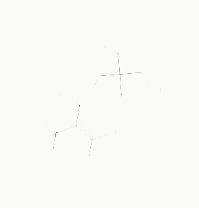 CCC(C(=O)O)=C(C)C.CCC(CO)(CO)CO